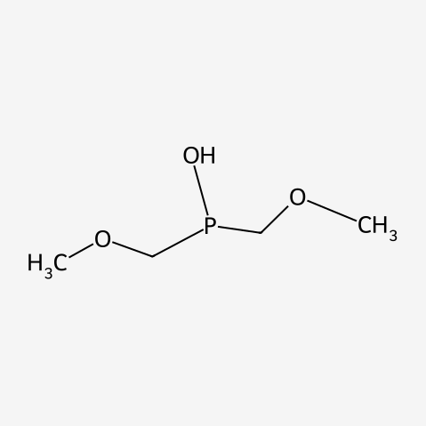 COCP(O)COC